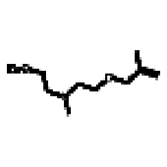 C=C(C)COCCN(C)CCOCC(C)C